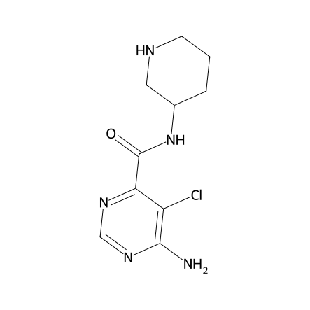 Nc1ncnc(C(=O)NC2CCCNC2)c1Cl